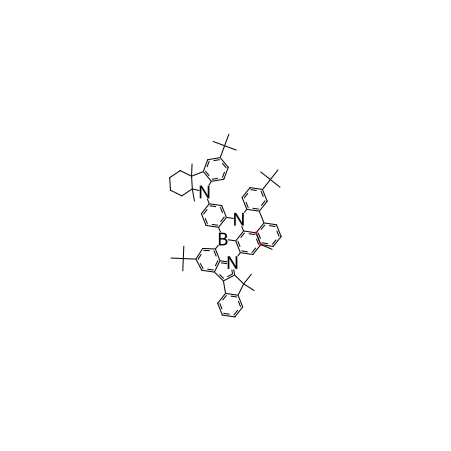 Cc1cc2c3c(c1)-n1c4c(c5cc(C(C)(C)C)cc(c51)B3c1ccc(N3c5ccc(C(C)(C)C)cc5C5(C)CCCCC35C)cc1N2c1ccc(C(C)(C)C)cc1-c1ccccc1)-c1ccccc1C4(C)C